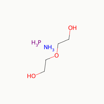 N.OCCOCCO.P